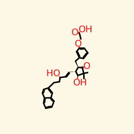 CC1(C)C(=O)[C@H](Cc2cccc(OCC(=O)O)c2)[C@@H](/C=C/[C@@H](O)CCc2ccc3ccccc3c2)[C@@H]1O